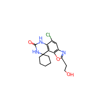 O=C1Nc2c(Cl)cc3nc(CCO)oc3c2C2(CCCCC2)N1